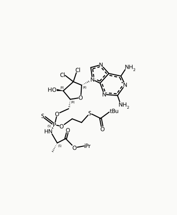 CC(C)OC(=O)[C@H](C)N[P@@](=S)(OCCSC(=O)C(C)(C)C)OC[C@H]1O[C@@H](n2cnc3c(N)nc(N)nc32)C(Cl)(Cl)[C@@H]1O